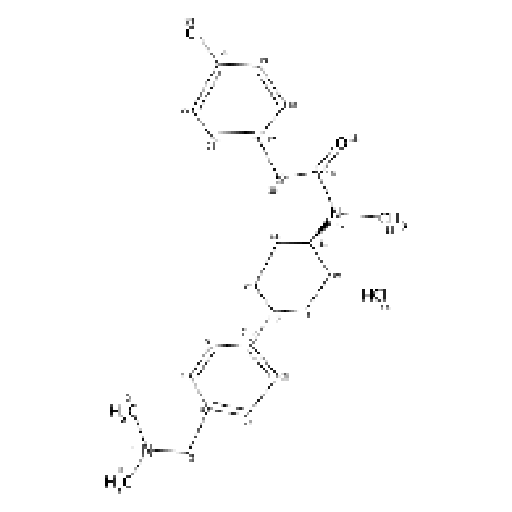 CN(C)Cc1ccc([C@H]2CC[C@H](N(C)C(=O)Sc3ccc(Cl)cc3)CC2)cc1.Cl